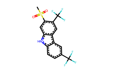 CS(=O)(=O)c1cc2[nH]c3ccc(C(F)(F)F)cc3c2cc1C(F)(F)F